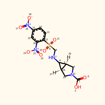 O=C(O)N1C[C@@H]2C(NCS(=O)(=O)c3ccc([N+](=O)[O-])cc3[N+](=O)[O-])[C@@H]2C1